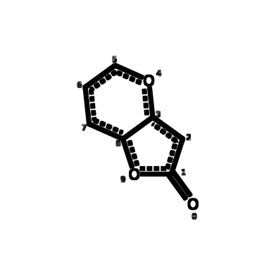 O=c1cc2occcc-2o1